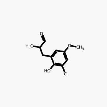 COc1cc(Cl)c(O)c(CC(C)C=O)c1